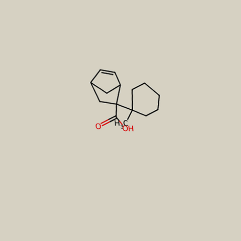 CC1(C2(C(=O)O)CC3C=CC2C3)CCCCC1